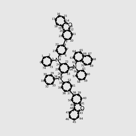 c1ccc(N(c2ccc(-c3ccc4oc5ccccc5c4c3)cc2)c2cc(N(c3ccccc3)c3ccc(-c4ccc5oc6ccccc6c5c4)cc3)cc(N(c3ccccc3)c3cccc4ccccc34)c2)cc1